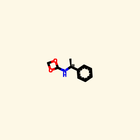 C[C@H](NC1OCO1)c1ccccc1